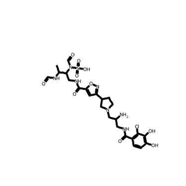 CC(NC=O)C(CNC(=O)c1cc(C2CCN(CC(N)CNC(=O)c3ccc(O)c(O)c3Cl)C2)no1)N(C=O)S(=O)(=O)O